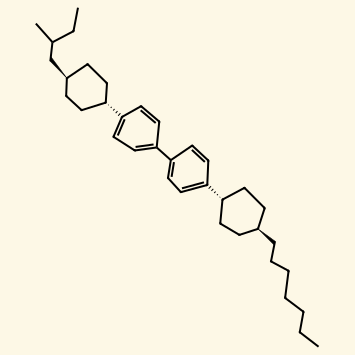 CCCCCCC[C@H]1CC[C@H](c2ccc(-c3ccc([C@H]4CC[C@H](CC(C)CC)CC4)cc3)cc2)CC1